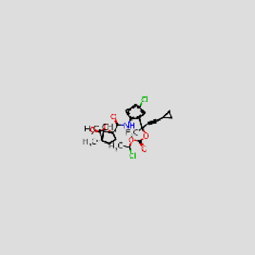 CC(Cl)OC(=O)O[C@@](C#CC1CC1)(c1cc(Cl)ccc1NC(=O)[C@]12CC[C@@](C)(C(=O)O1)C2(C)C)C(F)(F)F